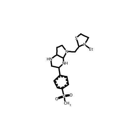 CCN1CCSC1CN1CCC2NCC(c3ccc(S(C)(=O)=O)cc3)NC21